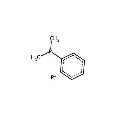 CP(C)c1ccccc1.[Pt]